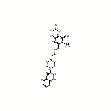 Nn1c(CCCCN2CCN(c3ccc4ccccc4n3)CC2)nc2c(c1=O)CC(Br)CC2